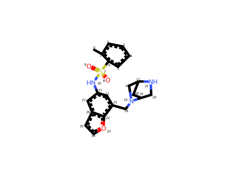 Cc1ccccc1S(=O)(=O)Nc1cc(CN2CC3CC2CN3)c2occc2c1